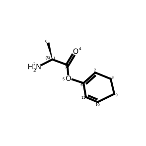 C[C@H](N)C(=O)OC1=CCCC=C1